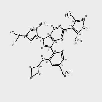 Cc1nn(C(F)F)cc1-n1cc(-c2ccc(C(=O)O)cc2OC2CCC2)c2cc(-c3c(C)noc3C)cnc21